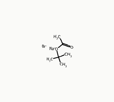 CC(=O)OC(C)(C)C.[Br-].[Na+]